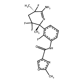 Cc1nc(C(=O)Nc2cccc([C@@]3(C)N=C(N)[C@](C)(F)CC3(F)F)c2F)co1